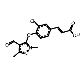 Cc1nn(C)c(Oc2ccc(/C=C/C(=O)O)cc2Cl)c1C=O